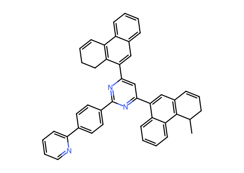 CC1CC=Cc2cc(-c3cc(-c4cc5ccccc5c5c4CCC=C5)nc(-c4ccc(-c5ccccn5)cc4)n3)c3ccccc3c21